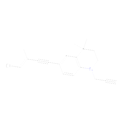 C#CCN1CCC(C)(C)c2cc(C#C/C(C)=C/CC)ccc21